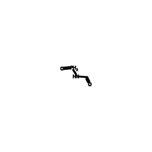 O=CN[PH2]=O